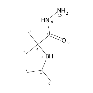 CC(C)BC(C)(C)C(=O)NN